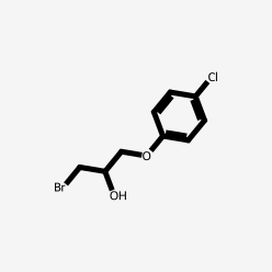 OC(CBr)COc1ccc(Cl)cc1